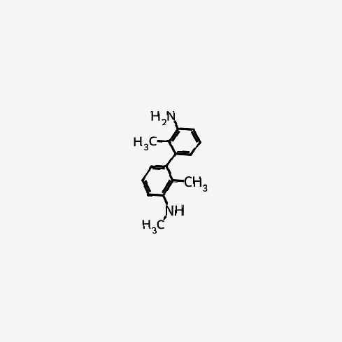 CNc1cccc(-c2cccc(N)c2C)c1C